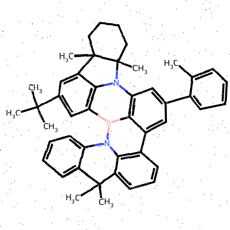 Cc1ccccc1-c1cc2c3c(c1)N1c4c(cc(C(C)(C)C)cc4C4(C)CCCCC14C)B3N1c3ccccc3C(C)(C)c3cccc-2c31